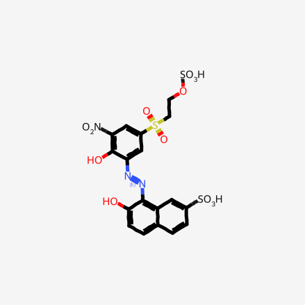 O=[N+]([O-])c1cc(S(=O)(=O)CCOS(=O)(=O)O)cc(/N=N/c2c(O)ccc3ccc(S(=O)(=O)O)cc23)c1O